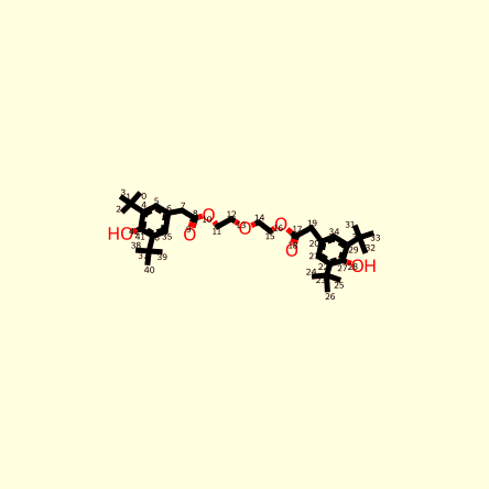 CC(C)(C)c1cc(CC(=O)OCCOCCOC(=O)Cc2cc(C(C)(C)C)c(O)c(C(C)(C)C)c2)cc(C(C)(C)C)c1O